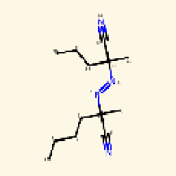 CCCCC(C)(C#N)N=NC(C)(C#N)CCC